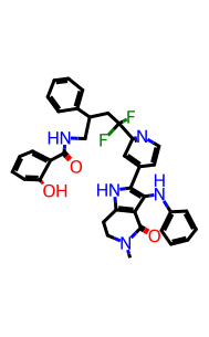 CN1CCc2[nH]c(-c3ccnc(C(F)(F)CC(CNC(=O)c4ccccc4O)c4ccccc4)c3)c(Nc3ccccc3)c2C1=O